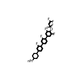 CCCC1CCC(c2ccc(-c3ccc(-c4cc(F)c(OC(F)(F)C=C(F)F)c(F)c4)c(F)c3)c(F)c2)CC1